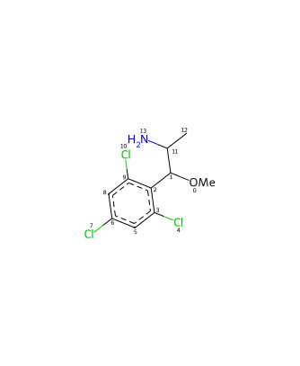 COC(c1c(Cl)cc(Cl)cc1Cl)C(C)N